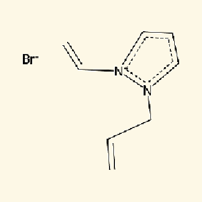 C=CCn1ccc[n+]1C=C.[Br-]